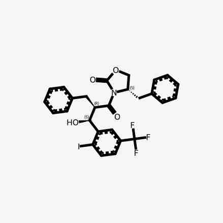 O=C1OC[C@H](Cc2ccccc2)N1C(=O)[C@H](Cc1ccccc1)[C@H](O)c1cc(C(F)(F)F)ccc1I